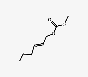 CCCC=CCOC(=O)OC